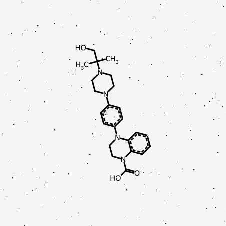 CC(C)(CO)N1CCN(c2ccc(N3CCN(C(=O)O)c4ccccc43)cc2)CC1